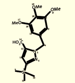 COc1cc(Cn2nc([Si](C)(C)C)cc2C(=O)O)cc(OC)c1OC